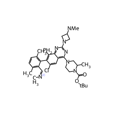 C/N=C\c1c(C)ccc(C)c1-c1c(Cl)cc2c(N3CCN(C(=O)OC(C)(C)C)C(C)C3)nc(N3CC(NC)C3)nc2c1P